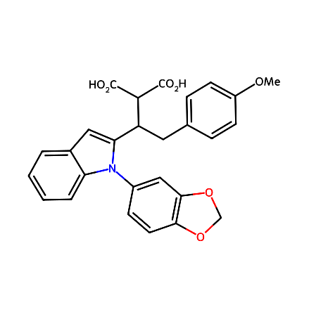 COc1ccc(CC(c2cc3ccccc3n2-c2ccc3c(c2)OCO3)C(C(=O)O)C(=O)O)cc1